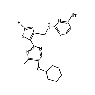 Cc1nc(-c2sc(F)cc2CNc2nccc(C(C)C)n2)ncc1OC1CCCCC1